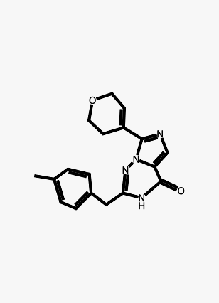 Cc1ccc(Cc2nn3c(C4=CCOCC4)ncc3c(=O)[nH]2)cc1